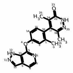 Cc1cc(Oc2nccc3cn[nH]c23)ccc1-c1c(C)n[nH]c(=O)c1C